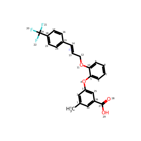 Cc1cc(Oc2ccccc2OC/C=C/c2ccc(C(F)(F)F)cc2)cc(C(=O)O)c1